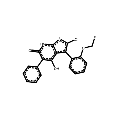 O=c1[nH]c2sc(Cl)c(-c3ccccc3OCF)c2c(O)c1-c1ccccc1